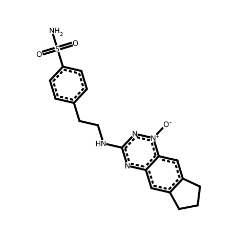 NS(=O)(=O)c1ccc(CCNc2nc3cc4c(cc3[n+]([O-])n2)CCC4)cc1